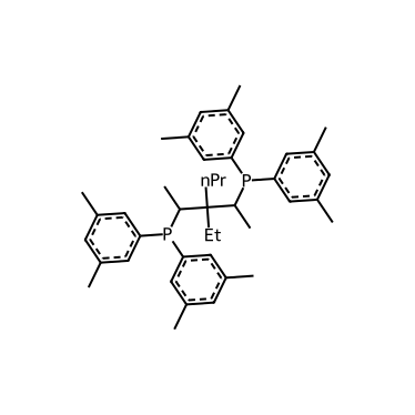 CCCC(CC)(C(C)P(c1cc(C)cc(C)c1)c1cc(C)cc(C)c1)C(C)P(c1cc(C)cc(C)c1)c1cc(C)cc(C)c1